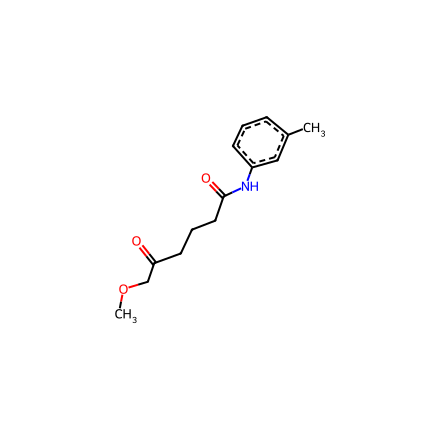 COCC(=O)CCCC(=O)Nc1cccc(C)c1